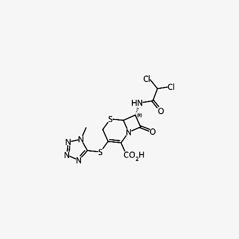 Cn1nnnc1SC1=C(C(=O)O)N2C(=O)[C@@H](NC(=O)C(Cl)Cl)C2SC1